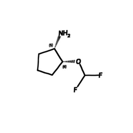 N[C@H]1CCC[C@H]1OC(F)F